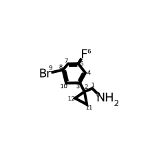 NCC1(c2cc(F)cc(Br)c2)CC1